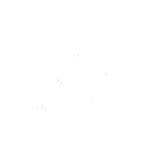 [C-]#[N+]c1c(Cl)cc(N)nc1C